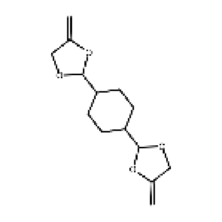 C=C1COC(C2CCC(C3OCC(=C)O3)CC2)O1